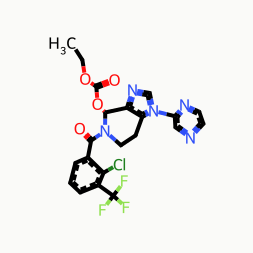 CCOC(=O)OC1c2ncn(-c3cnccn3)c2CCN1C(=O)c1cccc(C(F)(F)F)c1Cl